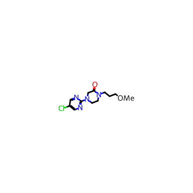 COCCCN1CCN(c2ncc(Cl)cn2)CC1=O